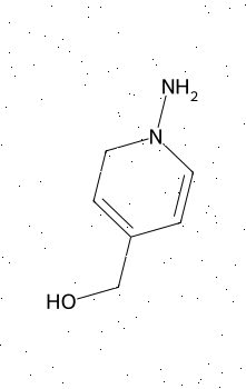 NN1C=CC(CO)=CC1